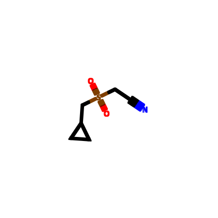 N#CCS(=O)(=O)CC1CC1